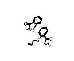 C=CCSc1ccccc1C(N)=O.O=c1[nH]sc2ccccc12